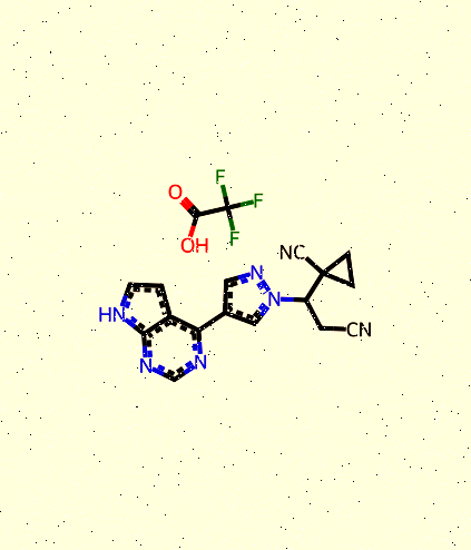 N#CCC(n1cc(-c2ncnc3[nH]ccc23)cn1)C1(C#N)CC1.O=C(O)C(F)(F)F